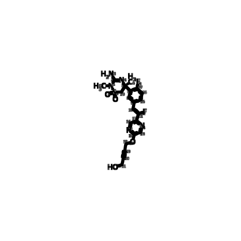 CN1C(N)=N[C@](C)(c2cc(/C=C(\F)c3cnc(OCC#CCO)cn3)ccc2F)CS1(=O)=O